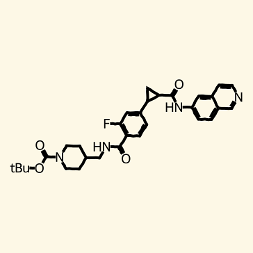 CC(C)(C)OC(=O)N1CCC(CNC(=O)c2ccc(C3CC3C(=O)Nc3ccc4cnccc4c3)cc2F)CC1